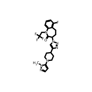 Cn1nccc1N1CCC(c2cn(C3CCc4c(F)cccc4N(CC(F)(F)F)C3=O)nn2)CC1